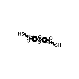 O=C(NCCS)c1ccc(S(=O)(=O)c2ccc(C(=O)NCCS)cc2)cc1